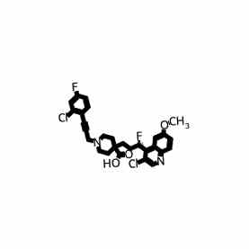 COc1ccc2ncc(Cl)c([C@H](F)CCC3(C(=O)O)CCN(CC#Cc4ccc(F)cc4Cl)CC3)c2c1